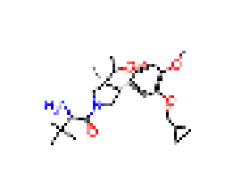 COc1ccc([C@@H]2CN(C(=O)[C@H](N)C(C)(C)C)C[C@@]2(C)[C@@H](C)O)cc1OCC1CC1